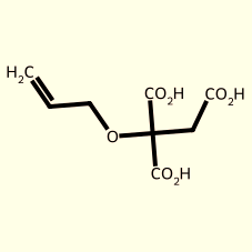 C=CCOC(CC(=O)O)(C(=O)O)C(=O)O